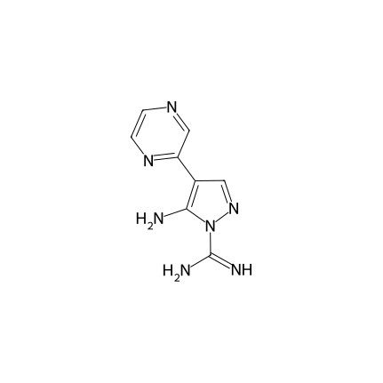 N=C(N)n1ncc(-c2cnccn2)c1N